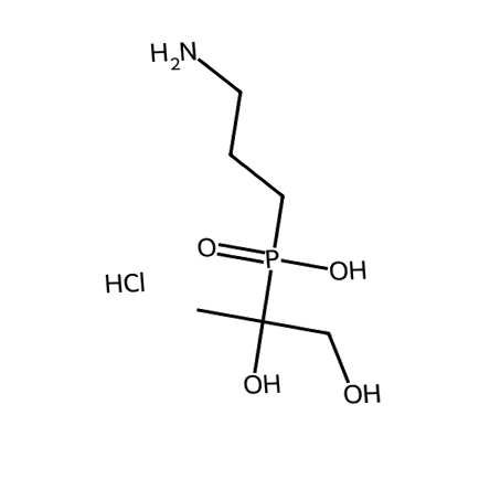 CC(O)(CO)P(=O)(O)CCCN.Cl